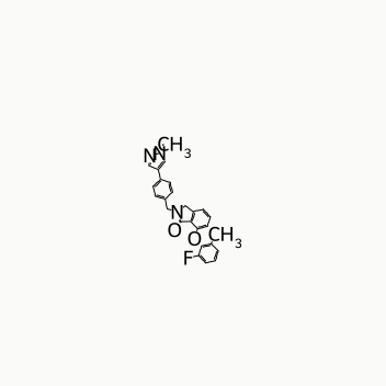 Cc1cccc(F)c1Oc1cccc2c1C(=O)N(Cc1ccc(-c3cnn(C)c3)cc1)C2